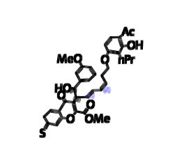 CCCc1c(OCC/C=C\C=C\[C@@H](c2c(C(=O)OC)oc3c(c2=O)=CCC(=S)C=3)[C@@H](O)c2cccc(OC)c2)ccc(C(C)=O)c1O